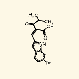 CC(C)C(=O)C(=Cc1cc2ccc(Br)cc2[nH]1)C(=O)O